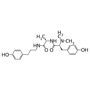 C[C@@H](NC(=O)[C@H](Cc1ccc(O)cc1)N(C)C)C(=O)NCCCc1ccc(O)cc1